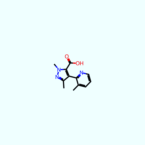 Cc1cccnc1-c1c(C)nn(C)c1C(=O)O